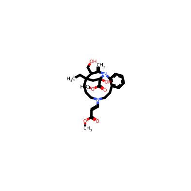 C=C1C(CO)C2(CC)CCCN(/C=C/C(=O)OC)CCc3ccccc3N1C(O)(C(=O)OC)C2